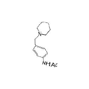 CC(=O)Nc1ccc(CN2CCCCC2)cc1